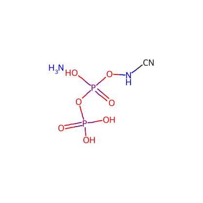 N.N#CNOP(=O)(O)OP(=O)(O)O